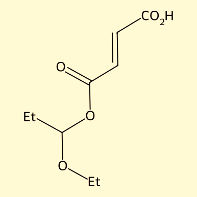 CCOC(CC)OC(=O)C=CC(=O)O